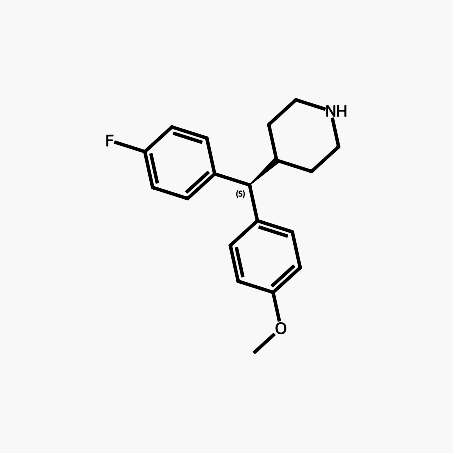 COc1ccc([C@@H](c2ccc(F)cc2)C2CCNCC2)cc1